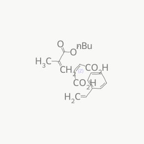 C=C(C)C(=O)OCCCC.C=Cc1ccccc1.O=C(O)/C=C\C(=O)O